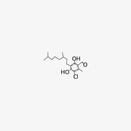 Cc1c(Cl)c(O)c(CCC(C)CCCC(C)C)c(O)c1C=O